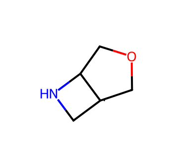 C1NC2COC[C]12